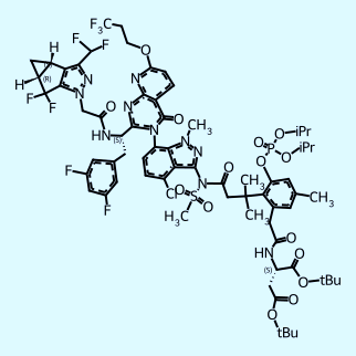 Cc1cc(CC(=O)N[C@@H](CC(=O)OC(C)(C)C)C(=O)OC(C)(C)C)c(C(C)(C)CC(=O)N(c2nn(C)c3c(-n4c([C@H](Cc5cc(F)cc(F)c5)NC(=O)Cn5nc(C(F)F)c6c5C(F)(F)[C@@H]5C[C@H]65)nc5nc(OCCC(F)(F)F)ccc5c4=O)ccc(Cl)c23)S(C)(=O)=O)c(OP(=O)(OC(C)C)OC(C)C)c1